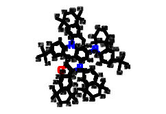 Cc1cc2c(cc1N1c3ccc(C(C)(C)C)cc3B3c4oc5cc6c(cc5c4N(c4ccc5c(c4)C(C)(C)CCC5(C)C)c4cc(N5c7ccc(C(C)(C)C)cc7C7(C)CCCCC57C)cc1c43)C(C)(C)CCC6(C)C)C(C)(C)CCC2(C)C